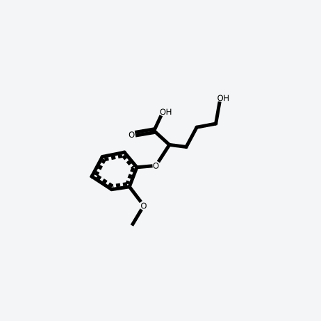 COc1ccccc1OC(CCCO)C(=O)O